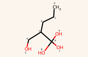 CCCC(CO)C(O)(O)O